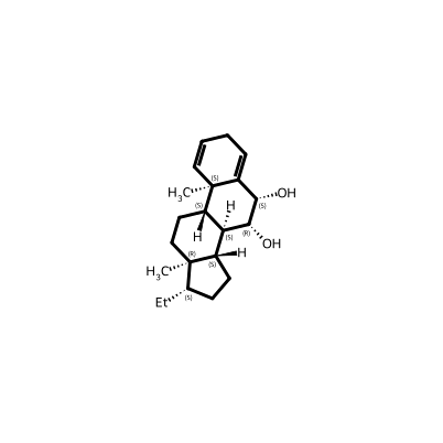 CC[C@H]1CC[C@H]2[C@@H]3[C@@H](O)[C@@H](O)C4=CCC=C[C@]4(C)[C@H]3CC[C@]12C